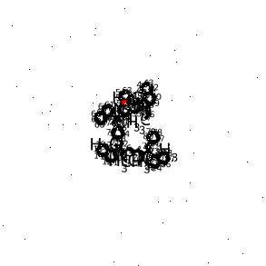 CCN1C(=CC=CC2=[N+](C)c3ccc4ccccc4c3C2(C)Cc2ccc(CC3(C)C(C=CC=C4N(CC)c5ccc6ccccc6c5C4(C)Cc4ccccc4)=[N+](CC)c4ccc5ccccc5c43)cc2)C(C)(Cc2ccccc2)c2c1ccc1ccccc21